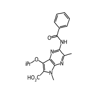 Cc1nc2c(nc1NC(=O)c1ccccc1)c(OC(C)C)c(C(=O)O)n2C